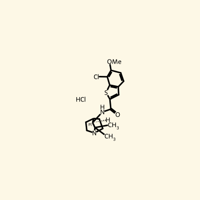 COc1ccc2cc(C(=O)N[C@@H]3C4CCN(CC4)C3(C)C)sc2c1Cl.Cl